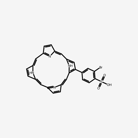 O=S(=O)(O)c1ccc(-c2cc3cc4nc(cc5ccc(cc6nc(cc2[nH]3)C=C6)[nH]5)C=C4)cc1Br